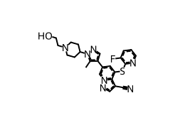 Cc1c(-c2cc(Sc3ncccc3F)c3c(C#N)cnn3c2)cnn1C1CCN(CCO)CC1